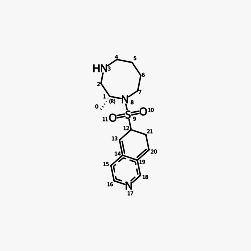 C[C@@H]1CNCCCCN1S(=O)(=O)C1C=c2ccncc2=CC1